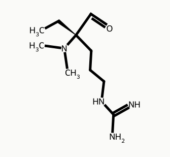 CC[C@@](C=O)(CCCNC(=N)N)N(C)C